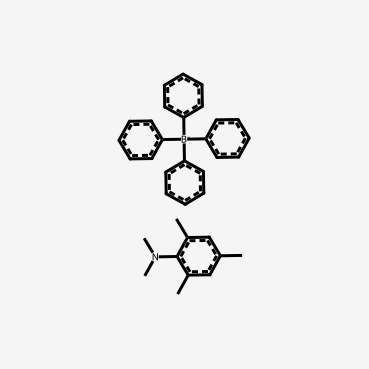 Cc1cc(C)c(N(C)C)c(C)c1.c1ccc([B-](c2ccccc2)(c2ccccc2)c2ccccc2)cc1